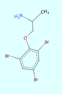 CC(N)COc1c(Br)cc(Br)cc1Br